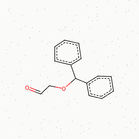 O=[C]COC(c1ccccc1)c1ccccc1